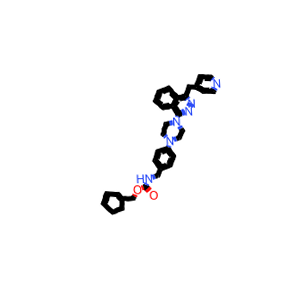 O=C(NCc1ccc(N2CCN(c3nnc(Cc4ccncc4)c4ccccc34)CC2)cc1)OCC1=CC=CCC1